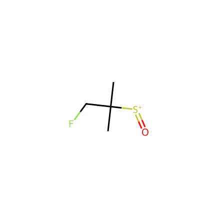 CC(C)(CF)[S+]=O